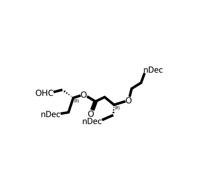 CCCCCCCCCCCCO[C@H](CCCCCCCCCCC)CC(=O)O[C@@H](CC=O)CCCCCCCCCCC